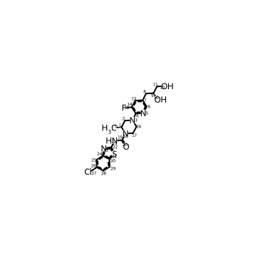 C[C@H]1CN(c2ncc(C[C@H](O)CO)cc2F)CCN1C(=O)Nc1nc2cc(Cl)ccc2s1